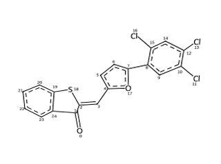 O=C1C(=Cc2ccc(-c3cc(Cl)c(Cl)cc3Cl)o2)Sc2ccccc21